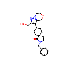 O=C1N(Cc2ccccc2)CCC12CCC(c1c(CO)nn3c1COCC3)CC2